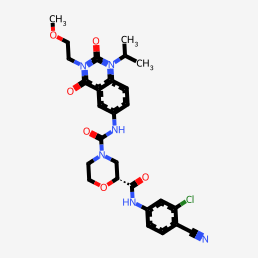 COCCn1c(=O)c2cc(NC(=O)N3CCO[C@@H](C(=O)Nc4ccc(C#N)c(Cl)c4)C3)ccc2n(C(C)C)c1=O